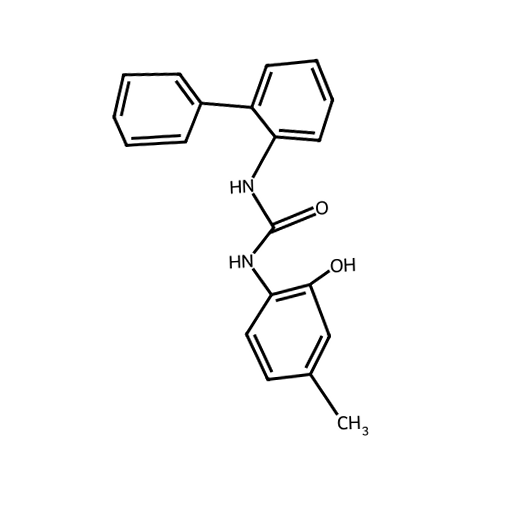 Cc1ccc(NC(=O)Nc2ccccc2-c2ccccc2)c(O)c1